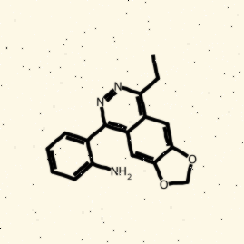 CCc1nnc(-c2ccccc2N)c2cc3c(cc12)OCO3